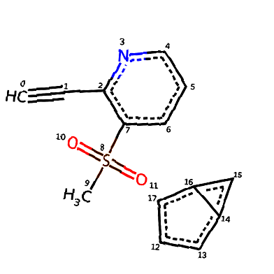 C#Cc1ncccc1S(C)(=O)=O.c1cc2cc-2c1